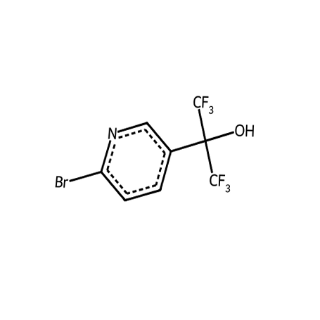 OC(c1ccc(Br)nc1)(C(F)(F)F)C(F)(F)F